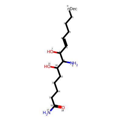 CCCCCCCCCCCCCC=CC(O)C(N)C(O)CCCCC(N)=O